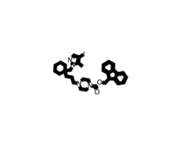 Cc1c(I)cnn1CC1(CCCN2CCN(C(=O)OCC3c4ccccc4-c4ccccc43)CC2)CCCCC1